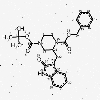 CC(C)(C)OC(=O)N1CCN(C(=O)OCc2ccccc2)C(Cn2c(=O)[nH]c3ccccc32)C1